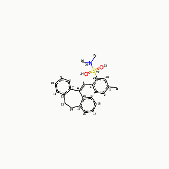 Cc1ccc(C=C2c3ccccc3CCc3ccccc32)c(S(=O)(=O)N(C)C)c1